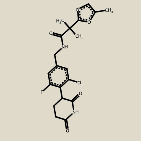 Cc1cnc(C(C)(C)C(=O)NCc2cc(F)c(C3CCC(=O)NC3=O)c(Cl)c2)o1